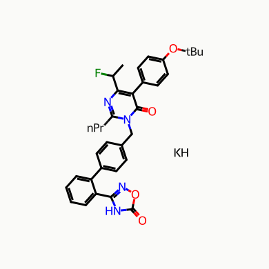 CCCc1nc(C(C)F)c(-c2ccc(OC(C)(C)C)cc2)c(=O)n1Cc1ccc(-c2ccccc2-c2noc(=O)[nH]2)cc1.[KH]